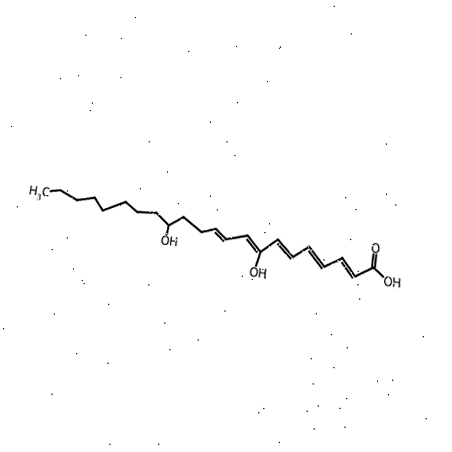 CCCCCCCCC(O)CCC=CC=C(O)C=CC=CC=CC(=O)O